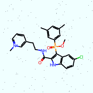 COP(=O)(c1cc(C)cc(C)c1)c1c(C(=O)NCCc2ccc[n+](C)c2)[nH]c2ccc(Cl)cc12